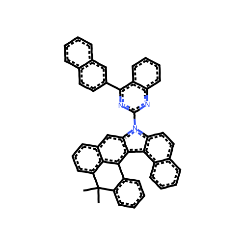 CC1(C)c2ccccc2-c2c3c1cccc3cc1c2c2c3ccccc3ccc2n1-c1nc(-c2ccc3ccccc3c2)c2ccccc2n1